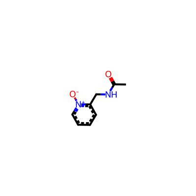 CC(=O)NCc1cccc[n+]1[O-]